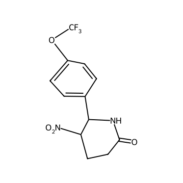 O=C1CCC([N+](=O)[O-])C(c2ccc(OC(F)(F)F)cc2)N1